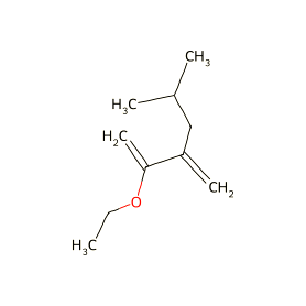 C=C(CC(C)C)C(=C)OCC